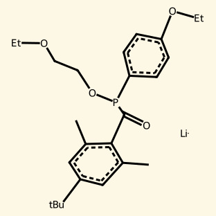 CCOCCOP(C(=O)c1c(C)cc(C(C)(C)C)cc1C)c1ccc(OCC)cc1.[Li]